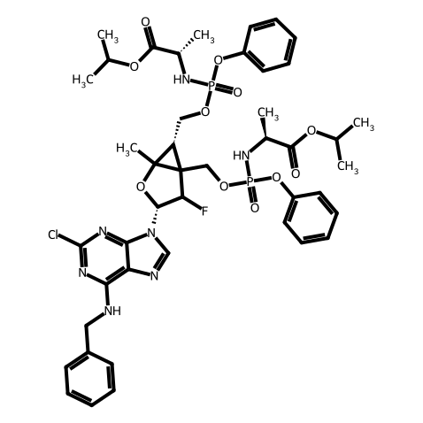 CC(C)OC(=O)[C@H](C)NP(=O)(OC[C@H]1C2(C)O[C@@H](n3cnc4c(NCc5ccccc5)nc(Cl)nc43)C(F)C12COP(=O)(N[C@@H](C)C(=O)OC(C)C)Oc1ccccc1)Oc1ccccc1